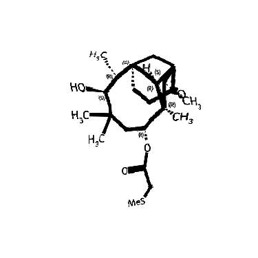 CSCC(=O)O[C@@H]1CC(C)(C)[C@@H](O)[C@H](C)[C@@]23CCC(=O)C4(C2)[C@@H](C)[C@]1(C)[C@H]43